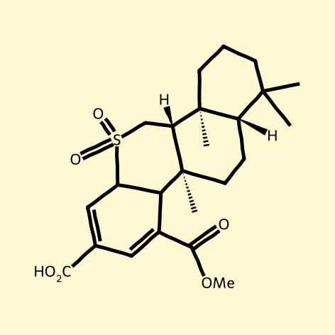 COC(=O)C1=CC(C(=O)O)=CC2C1[C@]1(C)CC[C@H]3C(C)(C)CCC[C@]3(C)[C@H]1CS2(=O)=O